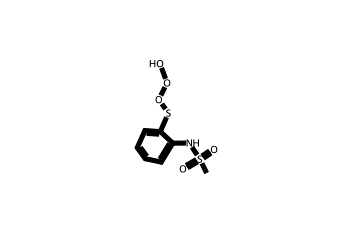 CS(=O)(=O)Nc1ccccc1SOOO